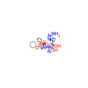 C[C@H](N[P@@](=O)(OC[C@@]1(C#N)O[C@@H](c2ccc3c(N)ncnn23)[C@H](O)[C@@H]1O)Oc1ccccc1)C(=O)OC1CCCCCCC1